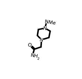 CNN1CCN(CC(N)=O)CC1